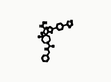 O=C(CC1(c2ccc(-c3ccc(-c4cnco4)cc3)s2)CCN(C(=O)NCc2ccccc2)CCS1(=O)=O)NO